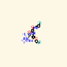 N=C(N)NCCC[C@@H](C(N)=O)n1c(-c2cccc(Oc3cccc(C(F)(F)F)c3)c2)nc2cc(C(=O)NCc3cccc(C(F)(F)F)c3)ccc21